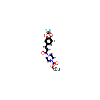 CC(C)(C)OC(=O)N1CCN(C(=O)/C=C/c2ccc3c(c2)OC(F)(F)O3)CC1